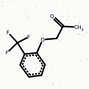 CC(=O)COc1ccccc1C(F)(F)F